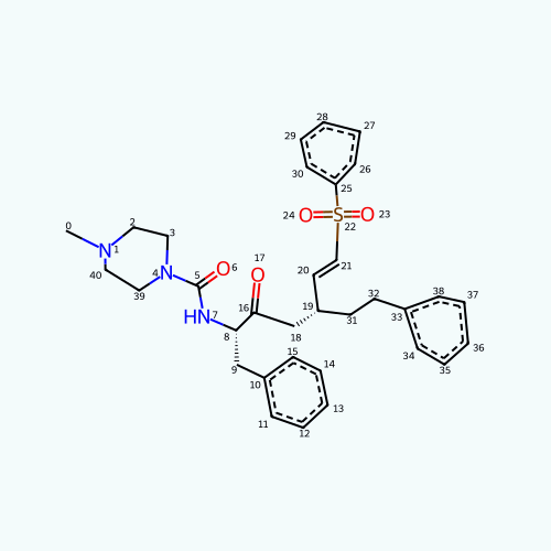 CN1CCN(C(=O)N[C@@H](Cc2ccccc2)C(=O)C[C@H](/C=C/S(=O)(=O)c2ccccc2)CCc2ccccc2)CC1